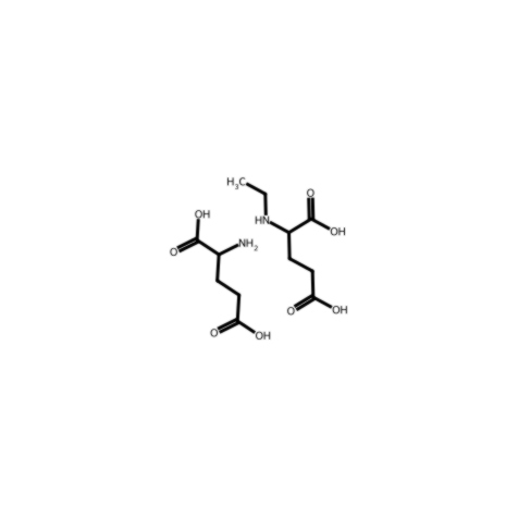 CCNC(CCC(=O)O)C(=O)O.NC(CCC(=O)O)C(=O)O